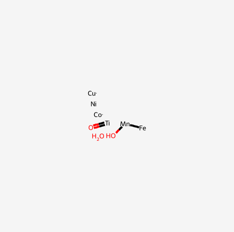 O.[Co].[Cu].[Ni].[OH][Mn][Fe].[O]=[Ti]